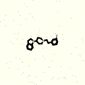 Fc1cccc(CCN2CCC(N3CCc4ccccc43)CC2)c1